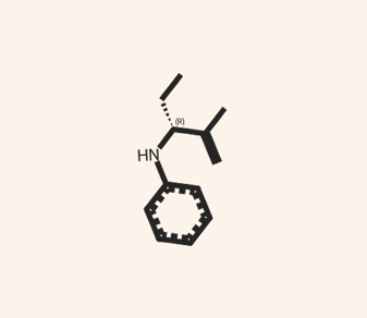 C=C(C)[C@@H](CC)Nc1ccccc1